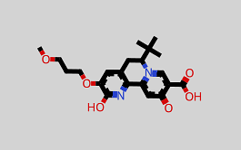 COCCCOc1cc2c(nc1O)-c1cc(=O)c(C(=O)O)cn1C(C(C)(C)C)C2